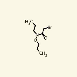 CCCON(CCC)C(=O)CBr